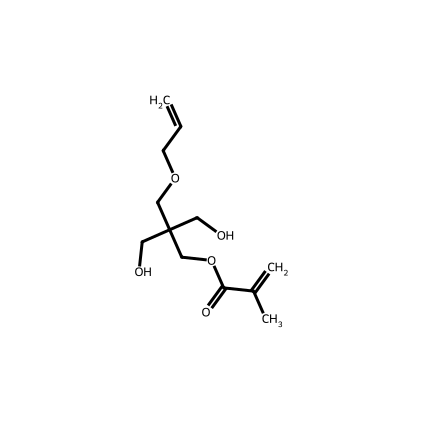 C=CCOCC(CO)(CO)COC(=O)C(=C)C